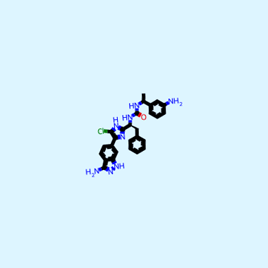 CC(NC(=O)N[C@@H](Cc1ccccc1)c1nc(-c2ccc3c(N)n[nH]c3c2)c(Cl)[nH]1)c1cccc(N)c1